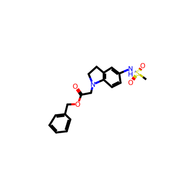 CS(=O)(=O)Nc1ccc2c(c1)CCN2CC(=O)OCc1ccccc1